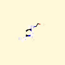 Nc1ccc(NCCO)n[n+]1[O-]